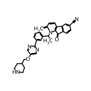 C=C1C=CC2=C(C(=O)c3ccc(C#N)cc32)N1C(C)c1cccc(-c2ncc(OCC3CCNCC3)cn2)c1